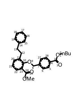 CCCCOC(=O)c1ccc(COc2c(CCc3ccccc3)cccc2C(=O)OC)cc1